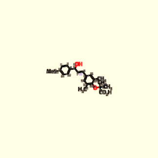 CSc1ccc(C(O)/C=C/c2cc(C)c(OC(C)(C)C(=O)O)c(C)c2)cc1